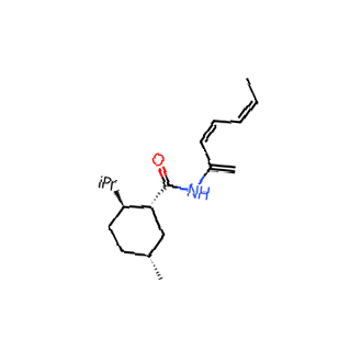 C=C(/C=C\C=C/C)NC(=O)[C@@H]1C[C@H](C)CC[C@H]1C(C)C